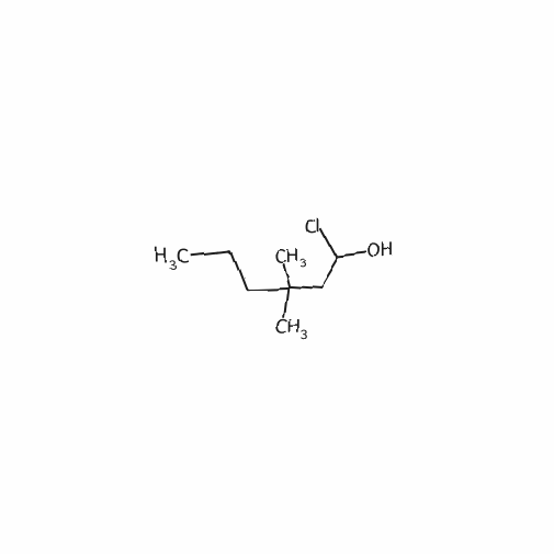 CCCC(C)(C)CC(O)Cl